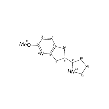 COc1ccc2c(n1)CC(C1CCCN1)C2